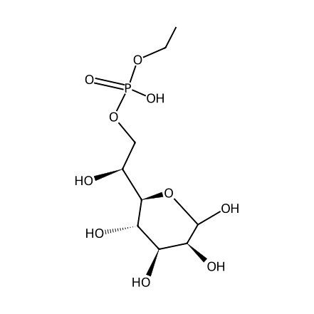 CCOP(=O)(O)OC[C@H](O)[C@H]1OC(O)[C@@H](O)[C@@H](O)[C@@H]1O